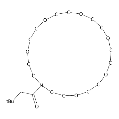 CC(C)(C)CC(=O)N1CCOCCOCCOCCOCCOCCOCC1